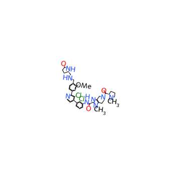 COc1cc(-c2nccc(-c3cccc(NC(=O)c4nc5c(n4C)CCN(C(=O)[C@H]4CCCN4C)C5)c3Cl)c2Cl)ccc1CNC[C@H]1CCC(=O)N1